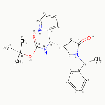 C[C@H](c1ccccc1)N1C[C@H](C(NC(=O)OC(C)(C)C)c2ccccn2)CC1=O